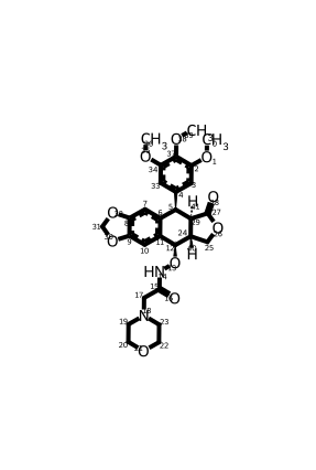 COc1cc([C@@H]2c3cc4c(cc3[C@H](ONC(=O)CN3CCOCC3)[C@H]3COC(=O)[C@H]23)OCO4)cc(OC)c1OC